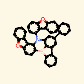 c1ccc(-c2cc3c4c(c2)N(c2cccc5oc6ccccc6c25)c2c(ccc5oc6ccccc6c25)B4c2ccccc2-3)cc1